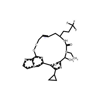 CCN1C(=O)NC(CCC(F)(F)F)C/C=C/CCOc2nc(cn3ccnc23)-c2oc(nc2C2CC2)C1C